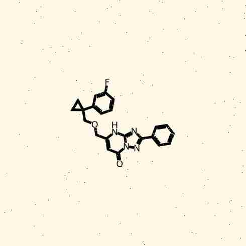 O=c1cc(COCC2(c3cccc(F)c3)CC2)[nH]c2nc(-c3ccccc3)nn12